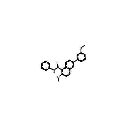 COc1cccc(-c2ccc3c(C(=O)Nc4ccccc4)c(OC)ccc3c2)c1